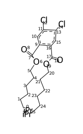 CC(C)CCCCCOC(=O)c1cc(Cl)c(Cl)cc1C(=O)OCCCCCC(C)C